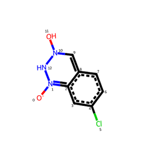 [O-][N+]1=c2cc(Cl)ccc2=CN(O)N1